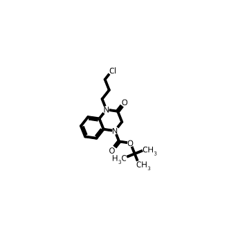 CC(C)(C)OC(=O)N1CC(=O)N(CCCCl)c2ccccc21